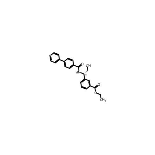 CCOC(=O)c1cccc([C@@H](CO)NC(=O)c2ccc(-c3ccncc3)cc2)c1